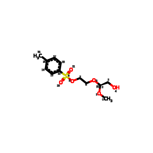 CO[C@H](CO)OCCOS(=O)(=O)c1ccc(C)cc1